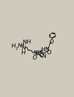 N=C(N)NCCCCNC(=O)c1cnc(C(=O)NCCOc2ccccc2)[nH]1